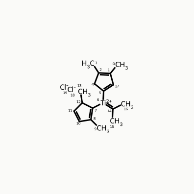 CC1=C(C)C[C]([Ti+2]([C]2=C(C)C=CC2C)=[C](C)C)=C1.[Cl-].[Cl-]